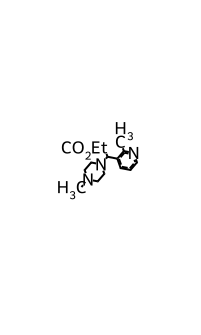 CCOC(=O)C(c1cccnc1C)N1CCN(C)CC1